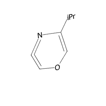 CC(C)C1=COC=C=N1